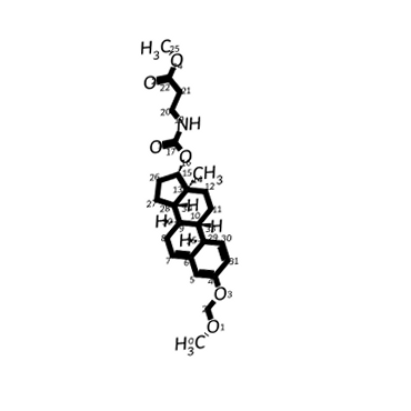 COCOC1=CC2=CC[C@@H]3[C@H](CC[C@]4(C)[C@@H](OC(=O)NCCC(=O)OC)CC[C@@H]34)[C@H]2C=C1